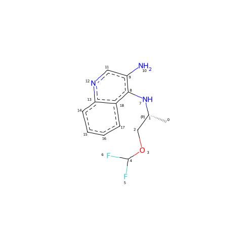 C[C@H](COC(F)F)Nc1c(N)cnc2ccccc12